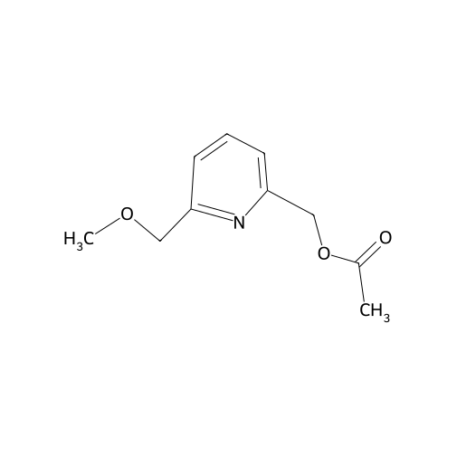 COCc1cccc(COC(C)=O)n1